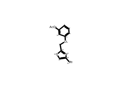 CC(=O)Oc1cccc(OCc2nc(C(C)C)cs2)c1